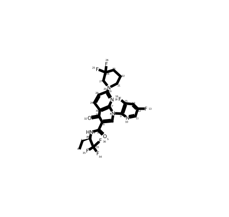 CC[C@@H](NC(=O)c1cn(-c2ncc(F)cc2F)c2nc(N3CCCC(F)(F)C3)ccc2c1=O)C(F)(F)F